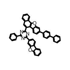 c1ccc(-c2ccc(-c3ccc4c(c3)oc3c5ccccc5cc(-c5nc(-c6ccccc6)nc(-c6ccc7c(c6)oc6ccccc67)n5)c43)cc2)cc1